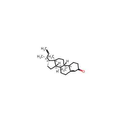 C=C[C@@H](C)[C@H]1CC[C@H]2[C@@H]3CCC4=CC(=O)CC[C@]4(C)[C@H]3CC[C@]12C